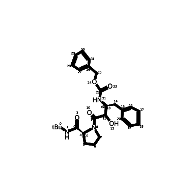 CC(C)(C)NC(=O)[C@@H]1CCCN1C(=O)C(O)[C@H](Cc1ccccc1)NC(=O)OCc1ccccc1